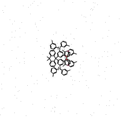 Cc1cccc(N(c2cccc(C)c2)c2cc(N(c3cccc(C)c3)c3cccc(C)c3)cc(C3(c4cc(N(c5cccc(C)c5)c5cccc(C)c5)cc(N(c5cccc(C)c5)c5cccc(C)c5)c4)c4ccccc4C(C)(C)c4ccccc43)c2)c1